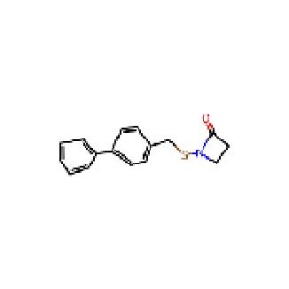 O=C1CCN1SCc1ccc(-c2ccccc2)cc1